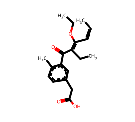 C/C=C\C(OCC)=C(/CC)C(=O)c1cc(CC(=O)O)ccc1C